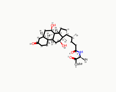 COC(=O)[C@@H](NC(=O)CC[C@@H](C)[C@H]1CC[C@H]2[C@@H]3[C@H](O)C[C@@H]4CC(=O)CC[C@]4(C)[C@H]3C[C@H](O)[C@]12C)C(C)C